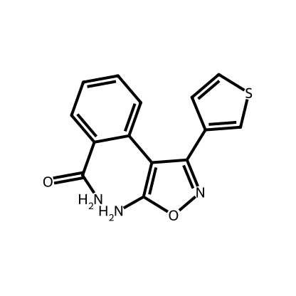 NC(=O)c1ccccc1-c1c(-c2ccsc2)noc1N